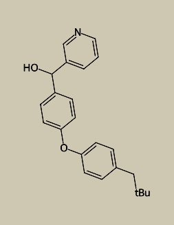 CC(C)(C)Cc1ccc(Oc2ccc(C(O)c3cccnc3)cc2)cc1